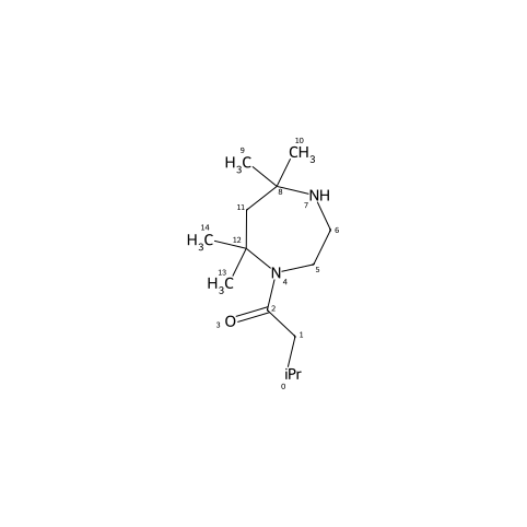 CC(C)CC(=O)N1CCNC(C)(C)CC1(C)C